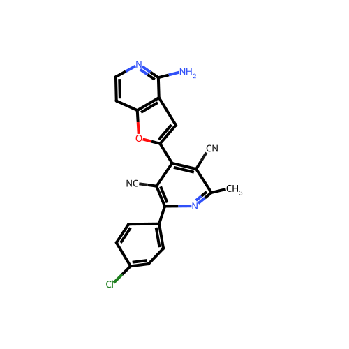 Cc1nc(-c2ccc(Cl)cc2)c(C#N)c(-c2cc3c(N)nccc3o2)c1C#N